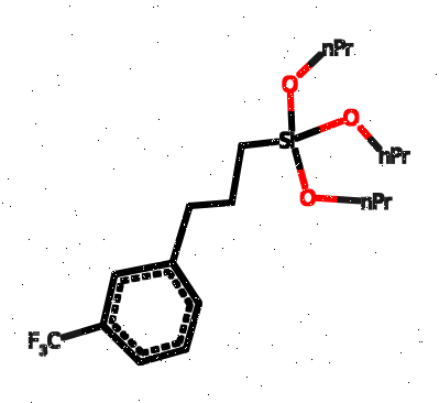 CCCO[Si](CCCc1cccc(C(F)(F)F)c1)(OCCC)OCCC